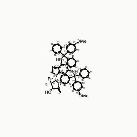 C=C1O[C@@H](n2cnc3c(NC(c4ccccc4)(c4ccccc4)c4ccc(OC)cc4)nc(NC(c4ccccc4)(c4ccccc4)c4ccc(OC)cc4)nc32)[C@](C)(F)[C@@H]1O